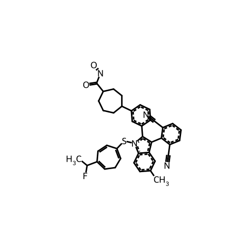 Cc1ccc2c(c1)c(-c1c(C#N)cccc1C#N)c(-c1cccc(C3CCCC(C(=O)N=O)CC3)c1)n2SC1=CCC=C(C(C)F)C=C1